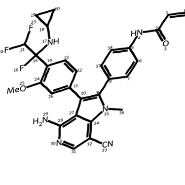 C=CC(=O)Nc1ccc(-c2c(-c3ccc(C(F)(NC4CC4)C(F)F)c(OC)c3)c3c(N)ncc(C#N)c3n2C)cc1